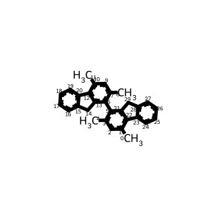 Cc1cc(C)c(-c2c(C)cc(C)c3c2Cc2ccccc2-3)c2c1-c1ccccc1C2